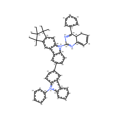 CC1(C)c2cc3c4cc(-c5ccc6c(c5)c5ccccc5n6-c5ccccc5)ccc4n(C4=NC5=CC=CCC5C(c5ccccc5)=N4)c3cc2C(C)(C)C1(C)C